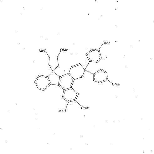 COCCC1(CCOC)c2ccccc2-c2c1c1c(c3cc(OC)c(OC)cc23)OC(c2ccc(OC)cc2)(c2ccc(OC)cc2)C=C1